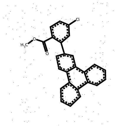 COC(=O)c1ccc(Cl)cc1-c1ccc2c3ccccc3c3ccccc3c2c1